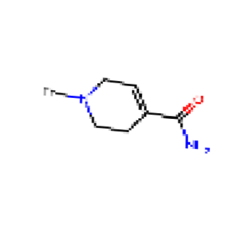 CCN1CC=C(C(N)=O)CC1